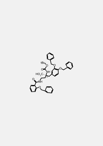 CC(C)(C)OC(=O)N[C@](CCNC(=O)c1ccccc1OCc1ccccc1)(Cc1ccc(OCc2ccccc2)c(OCc2ccccc2)c1)C(=O)O